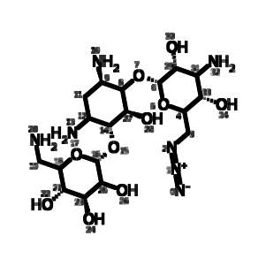 [N-]=[N+]=NCC1O[C@H](OC2[C@H](N)CC(N)[C@@H](O[C@H]3OC(CN)[C@@H](O)[C@H](O)C3O)[C@@H]2O)[C@H](O)C(N)[C@@H]1O